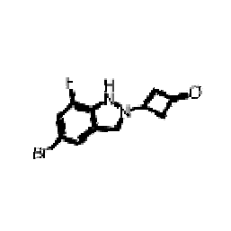 O=C1CC(N2Cc3cc(Br)cc(F)c3N2)C1